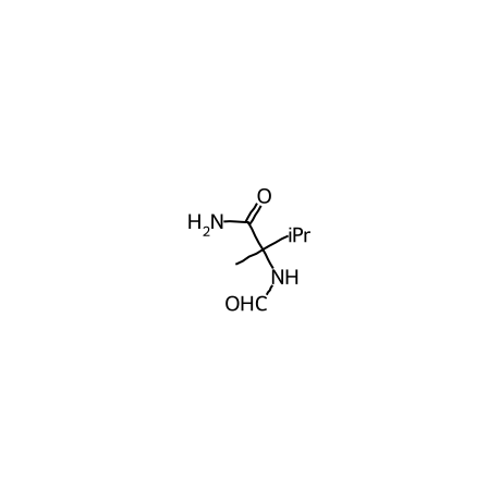 CC(C)C(C)(NC=O)C(N)=O